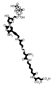 Nc1nc(=O)n([C@H]2CC(O)[C@@H](COP(=O)(O)OP(=O)(O)OP(=O)(O)O)O2)cc1C#CCNC(=O)CCSSCC(N)C(=O)NCCCCCC(=O)NC(CCC(=O)O)C(=O)O